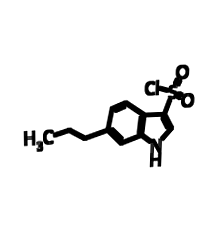 CCCc1ccc2c(S(=O)(=O)Cl)c[nH]c2c1